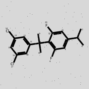 CC(C)c1cc(F)c(C(C)(C)c2cc(Cl)cc(Cl)c2)c(F)c1